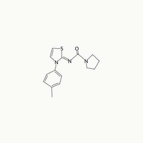 Cc1ccc(-n2ccsc2=NC(=O)N2CCCC2)cc1